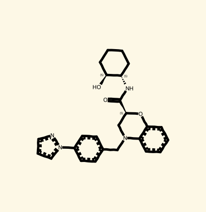 O=C(N[C@H]1CCCC[C@@H]1O)[C@@H]1CN(Cc2ccc(-n3cccn3)cc2)c2ccccc2O1